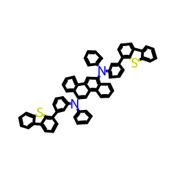 c1ccc(N(c2cccc(-c3cccc4c3sc3ccccc34)c2)c2cc3c4ccccc4c(N(c4ccccc4)c4cccc(-c5cccc6c5sc5ccccc56)c4)cc3c3ccccc23)cc1